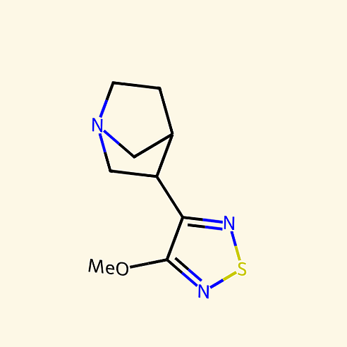 COc1nsnc1C1CN2CCC1C2